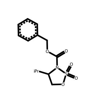 CC(C)C1COS(=O)(=O)N1C(=O)OCc1ccccc1